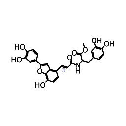 COC(=O)C(Cc1ccc(O)c(O)c1)NC(=O)/C=C/c1ccc(O)c2oc(-c3ccc(O)c(O)c3)cc12